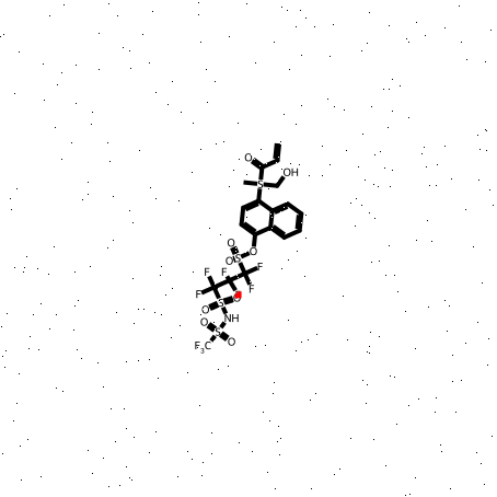 C=CC(=O)S(C)(CO)c1ccc(OS(=O)(=O)C(F)(F)C(F)(F)C(F)(F)S(=O)(=O)NS(=O)(=O)C(F)(F)F)c2ccccc12